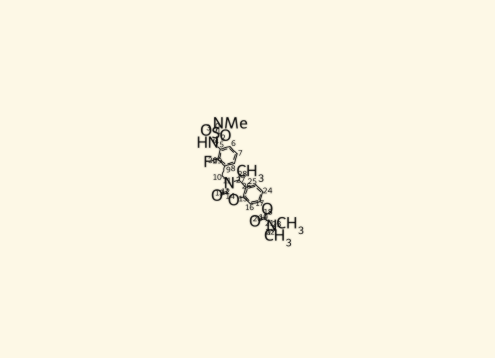 CNS(=O)(=O)Nc1cccc(CN2C(=O)Oc3cc(OC(=O)N(C)C)ccc3C2C)c1F